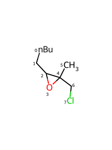 CCCCCC1OC1(C)CCl